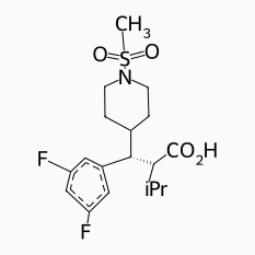 CC(C)C(C(=O)O)[C@H](c1cc(F)cc(F)c1)C1CCN(S(C)(=O)=O)CC1